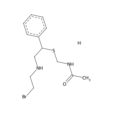 CC(=O)NCSC(CNCCBr)c1ccccc1.[H]